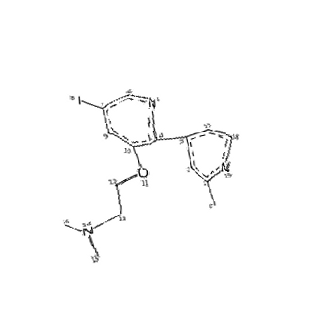 Cc1cc(-c2ncc(I)cc2OCCN(C)C)ccn1